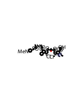 C=C/C=c1/c(OP(=O)(O)O)cc2c(/c1=C/C)[C@H](CCl)CN2C(=O)C12CC(C(=O)N3C[C@@H](CCl)c4c3cc(OC(=O)N(C)CCN(C)C(=O)OCc3ccc(NC)cc3)c3ccccc43)(C1)C2